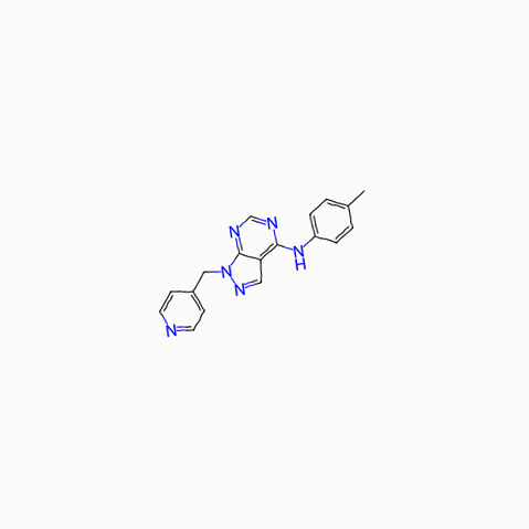 Cc1ccc(Nc2ncnc3c2cnn3Cc2ccncc2)cc1